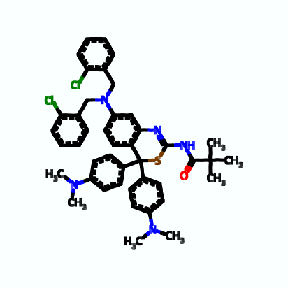 CN(C)c1ccc(C2(c3ccc(N(C)C)cc3)SC(NC(=O)C(C)(C)C)=Nc3cc(N(Cc4ccccc4Cl)Cc4ccccc4Cl)ccc32)cc1